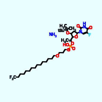 C[C@@H](OP(=O)(O)OCCCOCCCCCCCCCCCCCCC(F)(F)F)C1OC(n2cc(F)c(=O)[nH]c2=O)CC1O[Si](C)(C)C(C)(C)C.N